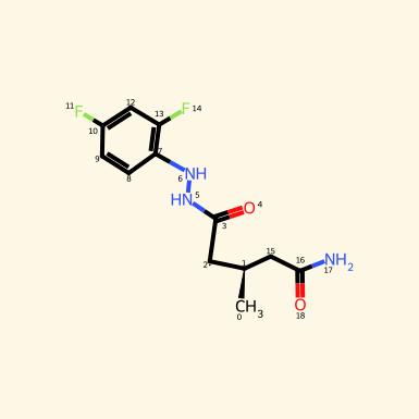 C[C@@H]([CH]C(=O)NNc1ccc(F)cc1F)CC(N)=O